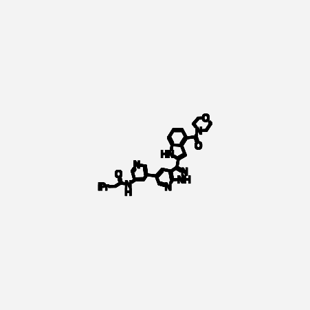 CC(C)CC(=O)Nc1cncc(-c2cnc3[nH]nc(-c4cc5c(C(=O)N6CCOCC6)cccc5[nH]4)c3c2)c1